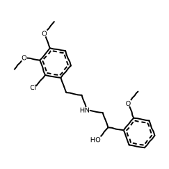 COc1ccccc1C(O)CNCCc1ccc(OC)c(OC)c1Cl